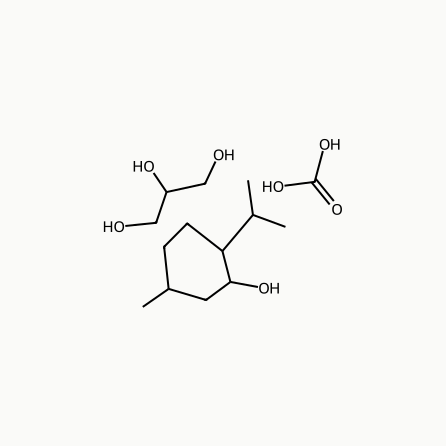 CC1CCC(C(C)C)C(O)C1.O=C(O)O.OCC(O)CO